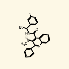 CCC(NC(=O)c1c([S+](C)[O-])c(-c2ccccc2)nc2ccccc12)c1cccc(F)c1